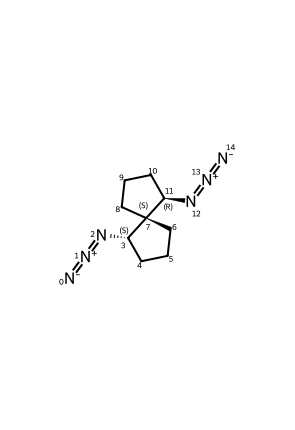 [N-]=[N+]=N[C@H]1CCC[C@]12CCC[C@H]2N=[N+]=[N-]